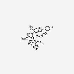 CCOc1cc2oc(-c3ccc(F)cc3)c(C(=O)NC)c2cc1-c1cnc(OC)c(C(=O)NC(C)(C)c2ncon2)c1